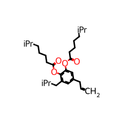 C=CCc1cc(CC(C)C)c(OC(=O)CCCCC(C)C)c(OC(=O)CCCCC(C)C)c1